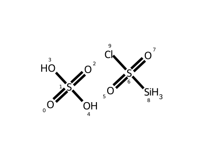 O=S(=O)(O)O.O=S(=O)([SiH3])Cl